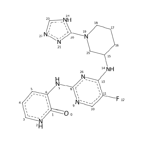 O=c1[nH]cccc1Nc1ncc(F)c(NC2CCCN(c3nnc[nH]3)C2)n1